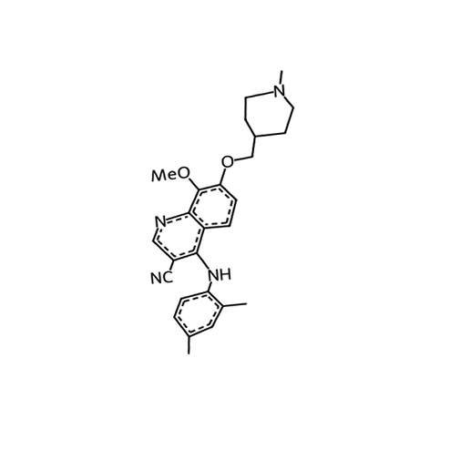 COc1c(OCC2CCN(C)CC2)ccc2c(Nc3ccc(C)cc3C)c(C#N)cnc12